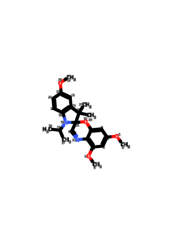 COc1cc(OC)c2c(c1)OC1(C=N2)N(C(C)C)c2ccc(OC)cc2C1(C)C